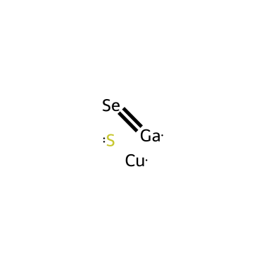 [Cu].[Ga]=[Se].[S]